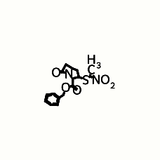 CC(SC1CC2CC(=O)N2C1C(=O)OCc1ccccc1)[N+](=O)[O-]